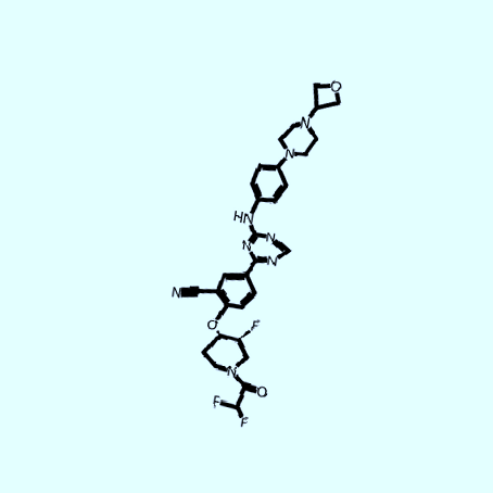 N#Cc1cc(-c2ncnc(Nc3ccc(N4CCN(C5COC5)CC4)cc3)n2)ccc1O[C@H]1CCN(C(=O)C(F)F)C[C@@H]1F